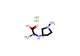 C[C@H](N[C@@H]1CCN(C)C1)C(=O)O.Cl.Cl